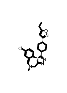 CCc1cc([C@H]2CC[C@H](c3nnc4n3C3C=CC(Cl)=CC3=CN(C)C4)CC2)no1